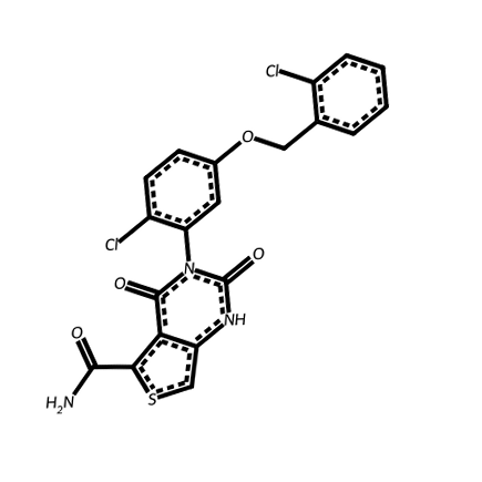 NC(=O)c1scc2[nH]c(=O)n(-c3cc(OCc4ccccc4Cl)ccc3Cl)c(=O)c12